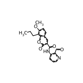 CCCc1c(OC)ccc2cc(C(=O)Nc3cccnc3C=O)c(=O)oc12